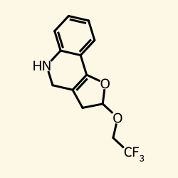 FC(F)(F)COC1CC2=C(O1)c1ccccc1NC2